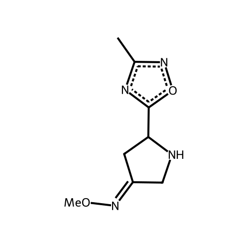 CON=C1CNC(c2nc(C)no2)C1